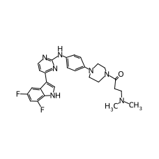 CN(C)CCC(=O)N1CCN(c2ccc(Nc3nccc(-c4c[nH]c5c(F)cc(F)cc45)n3)cc2)CC1